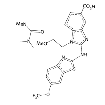 CNC(=O)N(C)C.COCCn1c(Nc2nc3ccc(OC(F)(F)F)cc3s2)nc2cc(C(=O)O)ccc21